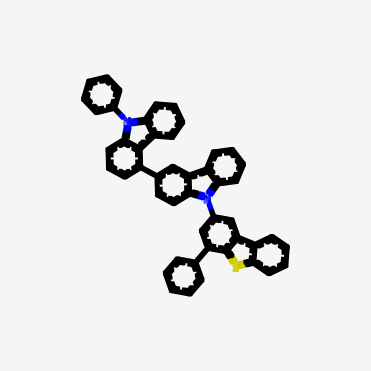 c1ccc(-c2cc(-n3c4ccccc4c4cc(-c5cccc6c5c5ccccc5n6-c5ccccc5)ccc43)cc3c2sc2ccccc23)cc1